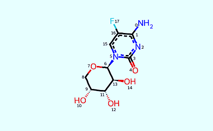 Nc1nc(=O)n([C@@H]2OC[C@@H](O)[C@@H](O)[C@@H]2O)cc1F